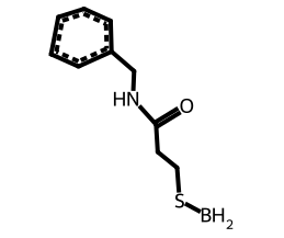 BSCCC(=O)NCc1ccccc1